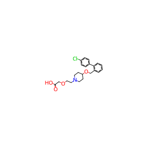 O=C(O)COCCN1CCC(OCc2ccccc2-c2ccc(Cl)cc2)CC1